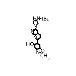 Cc1nc2cc(O)c(-c3ccc4cc(N5CC[C@@H](NC(C)(C)C)C5)ncc4n3)cc2o1